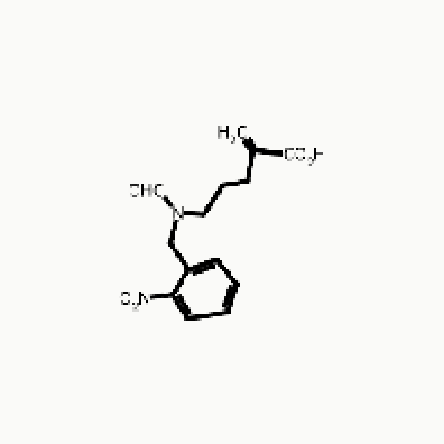 C=C(CCCN(C=O)Cc1ccccc1[N+](=O)[O-])C(=O)O